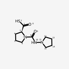 O=C(S)[C@@H]1CCCN1C(=O)NN1CCCC1